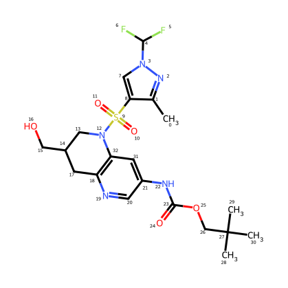 Cc1nn(C(F)F)cc1S(=O)(=O)N1CC(CO)Cc2ncc(NC(=O)OCC(C)(C)C)cc21